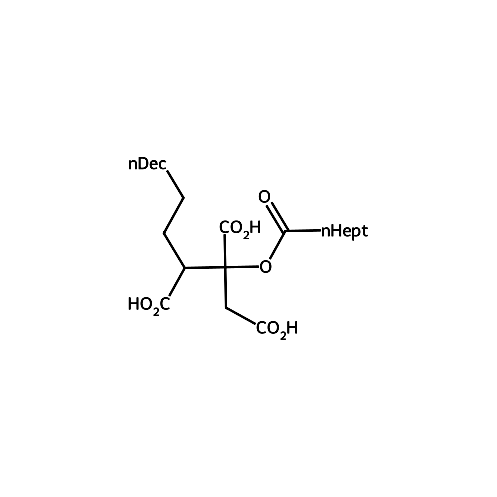 CCCCCCCCCCCCC(C(=O)O)C(CC(=O)O)(OC(=O)CCCCCCC)C(=O)O